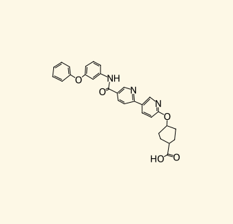 O=C(Nc1cccc(Oc2ccccc2)c1)c1ccc(-c2ccc(OC3CCC(C(=O)O)CC3)nc2)nc1